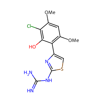 COc1cc(OC)c(-c2csc(NC(=N)N)n2)c(O)c1Cl